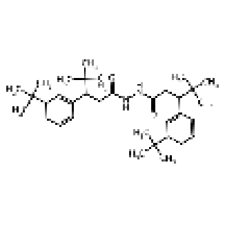 CC(C)(C)C1C=C(C(CC(=O)NNC(=O)CC(C2=CC(C(C)(C)C)CC=C2)C(C)(C)C)C(C)(C)C)C=CC1